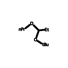 CCCOC(CC)OC(C)(C)C